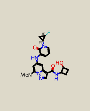 CNc1cc(Nc2cccn([C@H]3C[C@@H]3F)c2=O)cc2c(C(=O)NC3CCC3O)cnn12